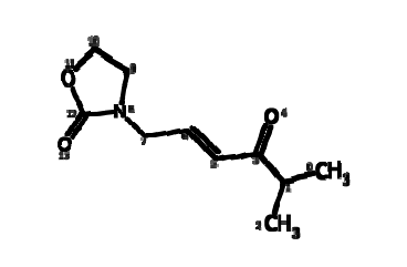 CC(C)C(=O)/C=C/CN1CCOC1=O